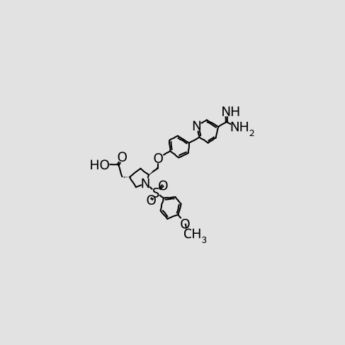 COc1ccc(S(=O)(=O)N2C[C@H](CC(=O)O)C[C@H]2COc2ccc(-c3ccc(C(=N)N)cn3)cc2)cc1